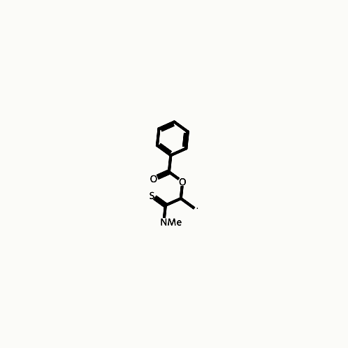 [CH2]C(OC(=O)c1ccccc1)C(=S)NC